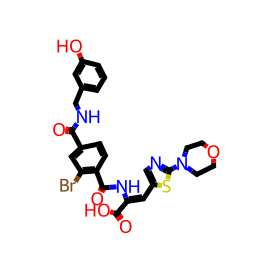 O=C(O)/C(=C/c1cnc(N2CCOCC2)s1)NC(=O)c1ccc(C(=O)NCc2cccc(O)c2)cc1Br